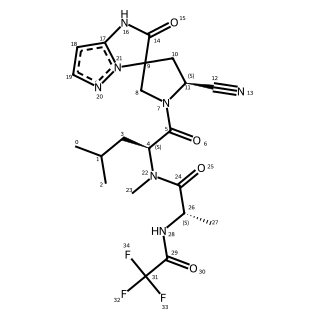 CC(C)C[C@@H](C(=O)N1CC2(C[C@H]1C#N)C(=O)Nc1ccnn12)N(C)C(=O)[C@H](C)NC(=O)C(F)(F)F